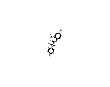 O=S(=O)(c1ccc(Cl)cc1)c1nc2ccc(Cl)cc2[n+]([O-])n1